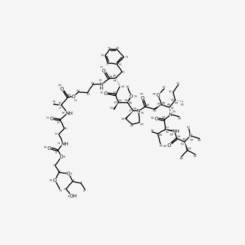 CCC(CO)OC(COC(=O)NCCC(=O)N[C@@H](C)C(=O)OCCCNC(=O)[C@@H](CC(=O)[C@H](C)[C@@H](OC)[C@@H]1CCCN1C(=O)C[C@@H](OC)[C@H]([C@@H](C)CC)N(C)C(=O)[C@@H](NC(=O)[C@H](C(C)C)N(C)C)C(C)C)Cc1ccccc1)OC